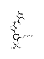 CCCP(=O)(O)Oc1ccc(-c2csc(NC(=O)c3sc(C)nc3C)n2)cc1CCC(=O)OCC